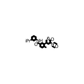 Cc1ccc(C(=O)Nc2cccc(C(C)C)c2)cc1-c1cc(N2CCOCC2)c(=O)n(C)c1